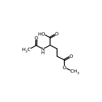 COC(=O)CCC(NC(C)=O)C(=O)O